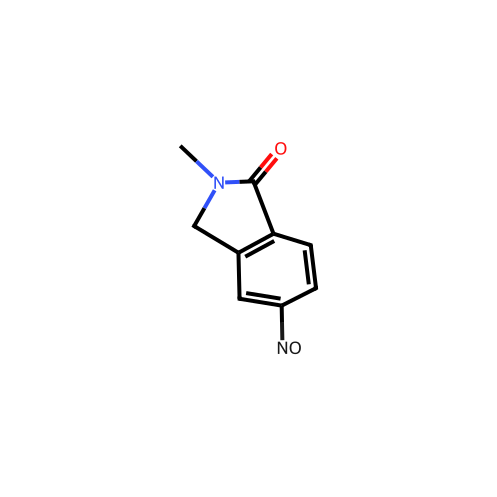 CN1Cc2cc(N=O)ccc2C1=O